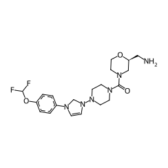 NC[C@H]1CN(C(=O)N2CCN(N3C=CN(c4ccc(OC(F)F)cc4)C3)CC2)CCO1